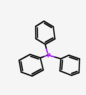 c1ccc([I+](c2ccccc2)c2ccccc2)cc1